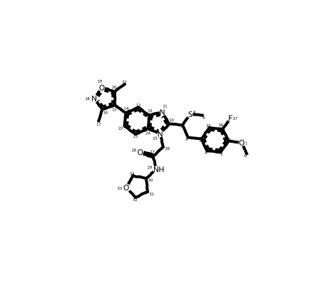 COc1ccc(CC(SC)c2nc3cc(-c4c(C)noc4C)ccc3n2CC(=O)NC2CCOC2)cc1F